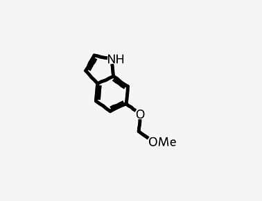 COCOc1ccc2cc[nH]c2c1